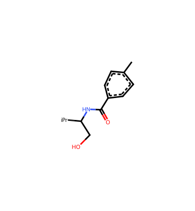 Cc1ccc(C(=O)NC(CO)C(C)C)cc1